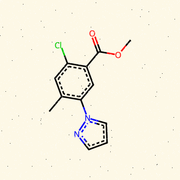 COC(=O)c1cc(-n2cccn2)c(C)cc1Cl